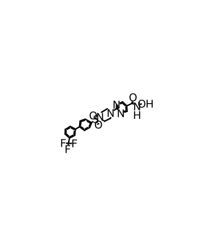 O=C(NO)c1cnc(N2CCN(S(=O)(=O)c3ccc(-c4cccc(C(F)(F)F)c4)cc3)CC2)nc1